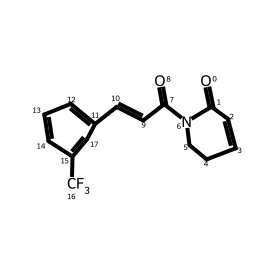 O=C1C=CCCN1C(=O)C=Cc1cccc(C(F)(F)F)c1